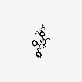 CCC1CC(=O)N(C(NC(=O)c2ccncc2)c2ccccc2)N=C1c1ccc(OC(F)F)c(OC)c1